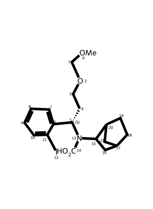 COCOCC[C@@H](c1ccccc1I)N(C(=O)O)C1CC2CCC1C2